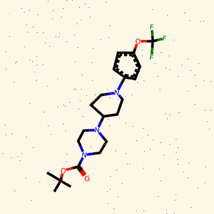 CC(C)(C)OC(=O)N1CCN(C2CCN(c3ccc(OC(F)(F)F)cc3)CC2)CC1